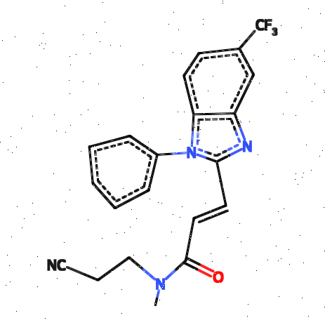 CN(CCC#N)C(=O)C=Cc1nc2cc(C(F)(F)F)ccc2n1-c1ccccc1